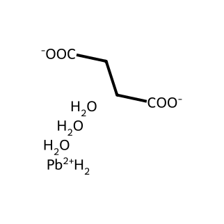 O.O.O.O=C([O-])CCC(=O)[O-].[PbH2+2]